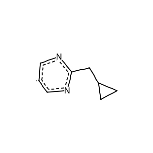 [c]1cnc(CC2CC2)nc1